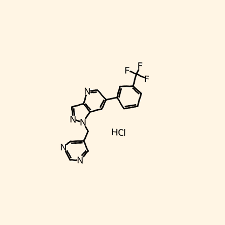 Cl.FC(F)(F)c1cccc(-c2cnc3cnn(Cc4cncnc4)c3c2)c1